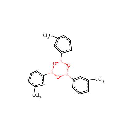 ClC(Cl)(Cl)c1cccc(B2OB(c3cccc(C(Cl)(Cl)Cl)c3)OB(c3cccc(C(Cl)(Cl)Cl)c3)O2)c1